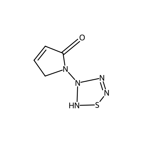 O=C1C=CCN1N1N=NSN1